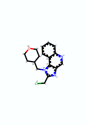 ClCc1nc2cnc3ccccc3c2n1CC1CCOCC1